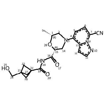 C[C@@H]1CN(c2ccc(C#N)n3nccc23)C[C@H](C(=O)NC(=O)C23CC(CO)(C2)C3)O1